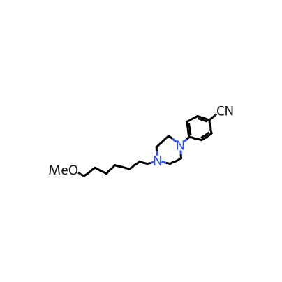 COCCCCCCCN1CCN(c2ccc(C#N)cc2)CC1